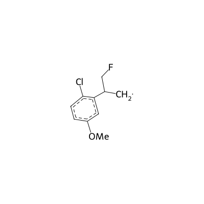 [CH2]C(CF)c1cc(OC)ccc1Cl